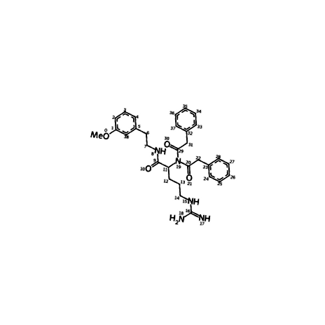 COc1cccc(CCNC(=O)C(CCCNC(=N)N)N(C(=O)Cc2ccccc2)C(=O)Cc2ccccc2)c1